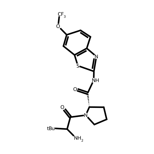 CC(C)(C)C(N)C(=O)N1CCC[C@H]1C(=O)Nc1nc2ccc(OC(F)(F)F)cc2s1